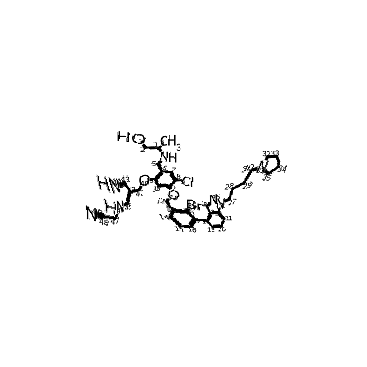 CC(CO)NCc1cc(Cl)c(OCc2cccc(-c3cccc4c3cnn4CCCCN3CCCC3)c2Br)cc1OC/C(C=N)=C/NCC#N